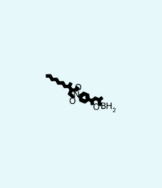 BC(=O)C(C)CC(C)c1ccc(N2C(=O)CC(C(C)CCCCCCC)C2=O)cc1